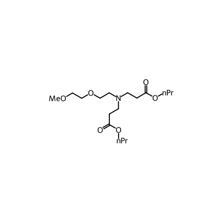 CCCOC(=O)CCN(CCOCCOC)CCC(=O)OCCC